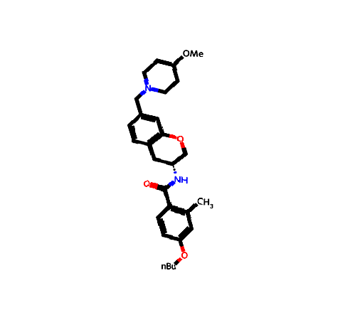 CCCCOc1ccc(C(=O)N[C@H]2COc3cc(CN4CCC(OC)CC4)ccc3C2)c(C)c1